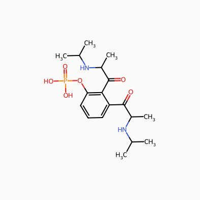 CC(C)NC(C)C(=O)c1cccc(OP(=O)(O)O)c1C(=O)C(C)NC(C)C